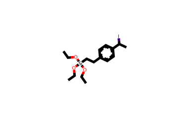 CCO[Si](CCc1ccc(C(C)I)cc1)(OCC)OCC